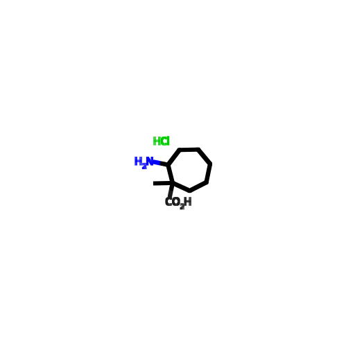 CC1(C(=O)O)CCCCCC1N.Cl